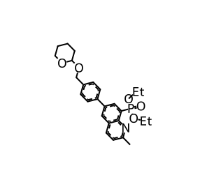 CCOP(=O)(OCC)c1cc(-c2ccc(COC3CCCCO3)cc2)cc2ccc(C)nc12